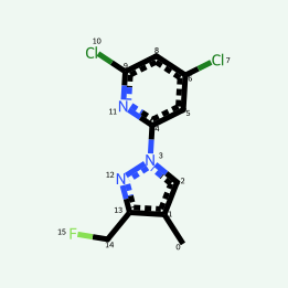 Cc1cn(-c2cc(Cl)cc(Cl)n2)nc1CF